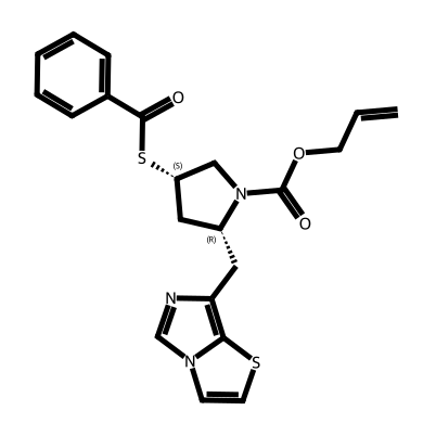 C=CCOC(=O)N1C[C@@H](SC(=O)c2ccccc2)C[C@H]1Cc1ncn2ccsc12